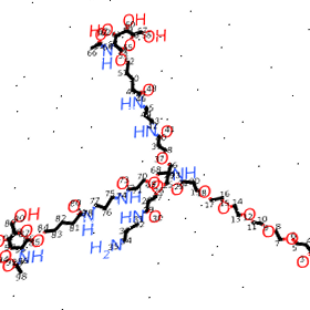 COC(=O)CCOCCOCCOCCOCCOCCC(=O)NC(COCCC(=O)NCCCN)(COCCC(=O)NCCCNC(=O)CCCCOC1OC(CO)C(O)C(O)C1NC(C)=O)COCCC(=O)NCCCNC(=O)CCCCOC1OC(CO)C(O)C(O)C1NC(C)=O